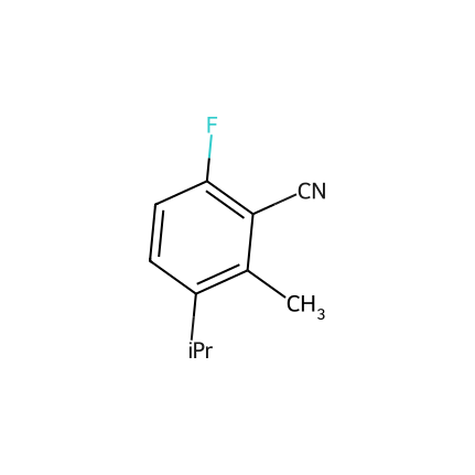 Cc1c(C(C)C)ccc(F)c1C#N